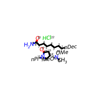 CCCCCCCCCCCCCCCCCC(N)=O.CCCN1CCCC1=O.CON(C)OC.Cl